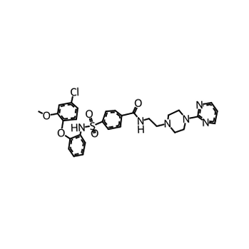 COc1cc(Cl)ccc1Oc1ccccc1NS(=O)(=O)c1ccc(C(=O)NCCN2CCN(c3ncccn3)CC2)cc1